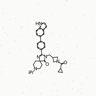 CC(C)N1CCC2(CC1)N=C(c1ccc(-c3ccc4[nH]ccc4c3)cc1)N(CC1CN(C(=O)C3CC3)C1)C2=O